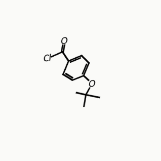 CC(C)(C)Oc1ccc(C(=O)Cl)cc1